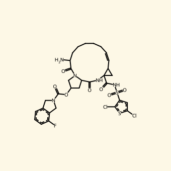 NC1CCCCC/C=C\C2CC2(C(=O)NS(=O)(=O)c2cc(Cl)sc2Cl)NC(=O)C2CC(OC(=O)N3Cc4cccc(F)c4C3)CN2C1=O